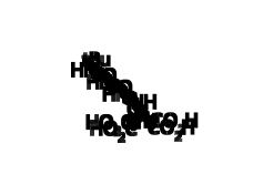 CC(C)(C)CC(=O)Nc1ccc(C(=O)Nc2ccc(C(=O)Nc3ccc(NC(=O)CN(CCN(CC(=O)O)CC(=O)O)CCN(CC(=O)O)CC(=O)O)cc3)cc2)cc1